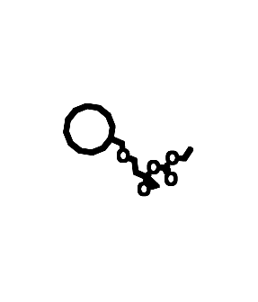 CCOC(=O)OC1(CCOCC2CCCCCCCCCCC2)CO1